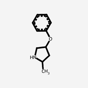 CC1CC(Oc2ccccc2)CN1